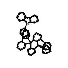 c1ccc(C2(c3ccccc3-c3ccc(-n4c5ccccc5c5ccccc54)cc3)c3ccccc3C3(c4ccccc4)c4ccccc4-c4cccc2c43)cc1